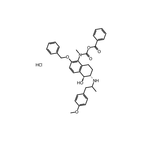 COc1ccc(CC(C)N[C@H]2CCc3c(ccc(OCc4ccccc4)c3N(C)C(=O)OC(=O)c3ccccc3)[C@@H]2O)cc1.Cl